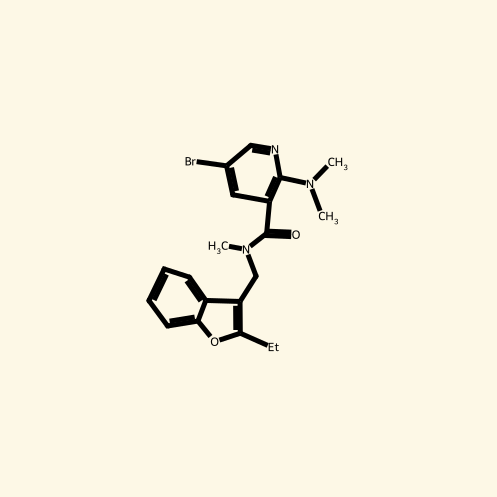 CCc1oc2ccccc2c1CN(C)C(=O)c1cc(Br)cnc1N(C)C